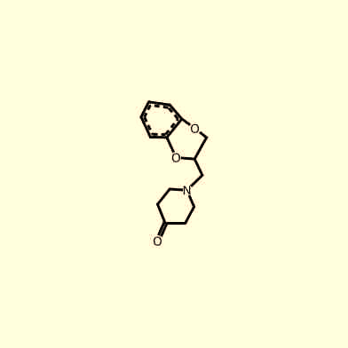 O=C1CCN(CC2COc3ccccc3O2)CC1